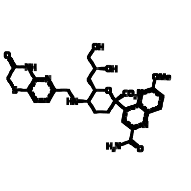 COc1ccc2nc(C(N)=O)cc([C@]3(C(=O)O)CC[C@@H](NCc4ccc5c(n4)NC(=O)CS5)[C@@H](C[C@H](O)CO)O3)c2n1